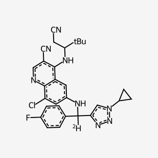 [2H]C(Nc1cc(Cl)c2ncc(C#N)c(NC(CC#N)C(C)(C)C)c2c1)(c1ccc(F)cc1)c1cn(C2CC2)nn1